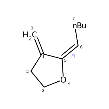 C=C1CCO/C1=C/CCCC